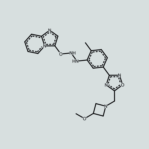 COC1CN(Cc2nc(-c3ccc(C)c(NNOc4cnc5ccccn45)c3)no2)C1